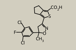 CC1(c2cc(Cl)c(F)c(Cl)c2)CC(c2sc(C(=O)O)c3c2CCC3)=NO1